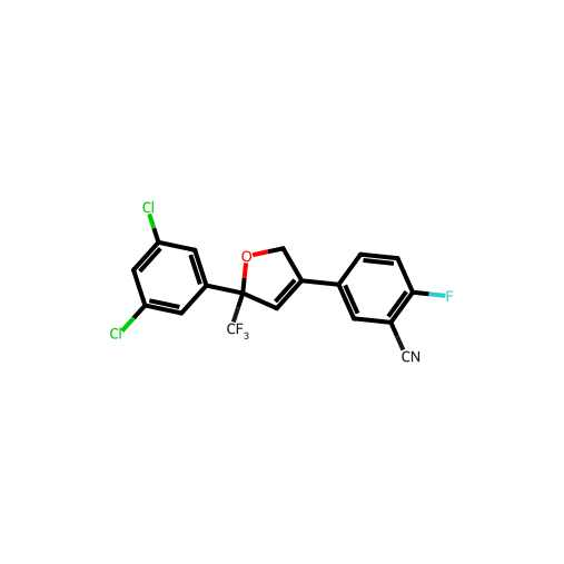 N#Cc1cc(C2=CC(c3cc(Cl)cc(Cl)c3)(C(F)(F)F)OC2)ccc1F